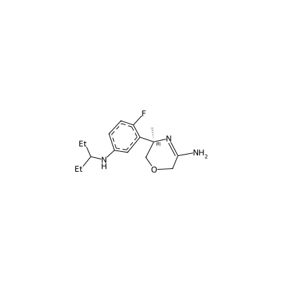 CCC(CC)Nc1ccc(F)c([C@]2(C)COCC(N)=N2)c1